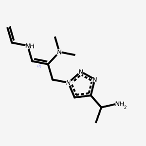 C=CN/C=C(/Cn1cc(C(C)N)nn1)N(C)C